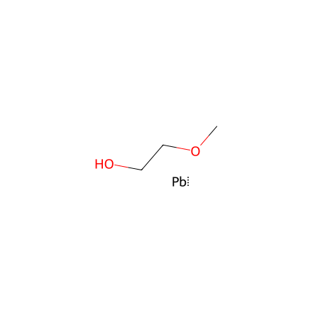 COCCO.[Pb]